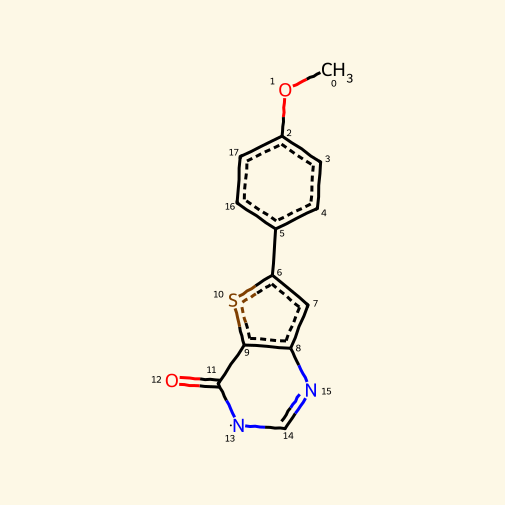 COc1ccc(-c2cc3c(s2)C(=O)[N]C=N3)cc1